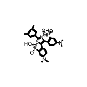 Cc1cc(C)cc(-c2nc(-c3ccc(N(C)C)cc3[PH](=O)OO)c(-c3ccc(N(C)C)cc3[PH](=O)OO)s2)c1